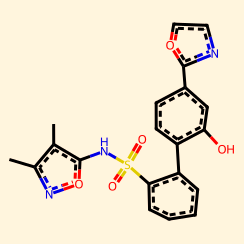 Cc1noc(NS(=O)(=O)c2ccccc2-c2ccc(-c3ncco3)cc2O)c1C